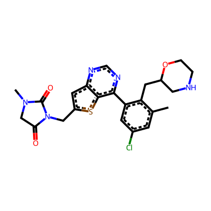 Cc1cc(Cl)cc(-c2ncnc3cc(CN4C(=O)CN(C)C4=O)sc23)c1CC1CNCCO1